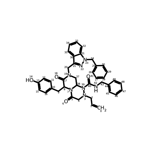 C=CCN1CC(=O)N2C(Cc3ccc(O)cc3)C(=O)N(Cc3nn(Cc4ccccc4)c4ccccc34)CC2N1C(=O)NCc1ccccc1